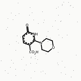 O=C(O)c1ccc(=O)[nH]c1N1CCOCC1